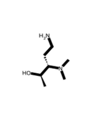 C[C@@H](O)[C@H](CCN)N(C)C